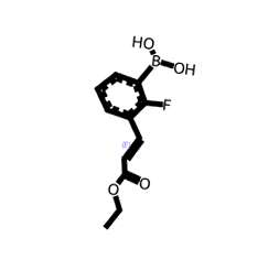 CCOC(=O)/C=C/c1cccc(B(O)O)c1F